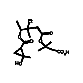 CCC(C)(CC(=O)OC(C)(C)CC(=O)O)C(C)OC(=O)C1CC1(C)O